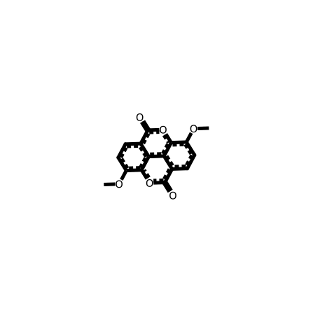 COc1ccc2c(=O)oc3c(OC)ccc4c(=O)oc1c2c34